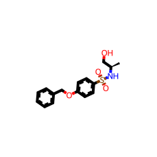 C[C@H](CO)NS(=O)(=O)c1ccc(OCc2ccccc2)cc1